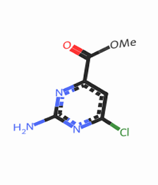 COC(=O)c1cc(Cl)nc(N)n1